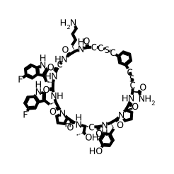 C[C@@H](O)[C@H]1CC(=O)N[C@@H](Cc2ccc(O)cc2)C(=O)N2CCC[C@@]2(C)C(=O)N[C@H](C(N)=O)CSCc2cccc(c2)CSCCC(=O)N[C@@H](CCCCN)C(=O)NCC(=O)N[C@@H](Cc2c[nH]c3ccc(F)cc23)C(=O)N[C@@H](Cc2c[nH]c3ccc(F)cc23)C(=O)N2CCC[C@H]2C(=O)N1